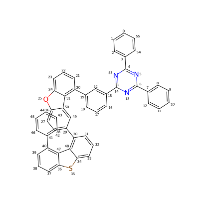 c1ccc(-c2nc(-c3ccccc3)nc(-c3cccc(-c4cccc5oc6ccc(-c7cccc8sc9cccc(-c%10ccccc%10)c9c78)cc6c45)c3)n2)cc1